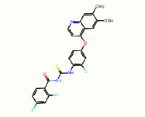 COc1cc2nccc(Oc3ccc(NC(=S)NC(=O)c4ccc(F)cc4F)c(F)c3)c2cc1OC